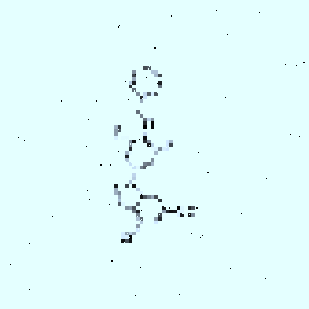 [C-]#[N+]c1cc(Br)c2cnn(-c3cc(F)c(OCc4ccccc4)c(F)c3)c2c1